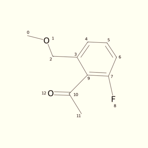 COCc1cccc(F)c1C(C)=O